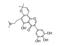 CN(C)CCc1c2c(c3occ(-c4cc(O)c(O)c(O)c4)c(=O)c3c1O)C=CC(C)(C)O2